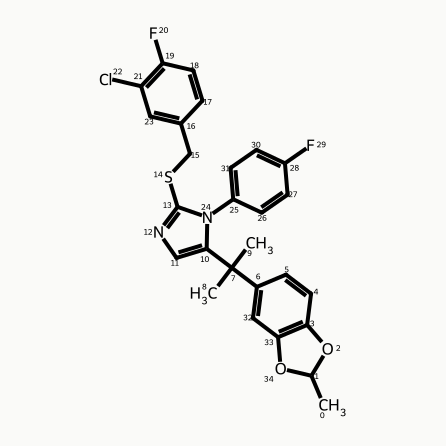 CC1Oc2ccc(C(C)(C)c3cnc(SCc4ccc(F)c(Cl)c4)n3-c3ccc(F)cc3)cc2O1